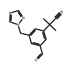 CC(C)(C#N)c1cc(C=O)cc(Cn2cncn2)c1